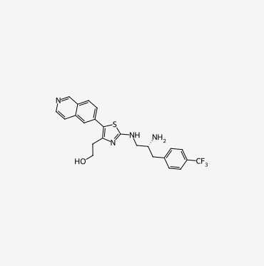 N[C@@H](CNc1nc(CCO)c(-c2ccc3cnccc3c2)s1)Cc1ccc(C(F)(F)F)cc1